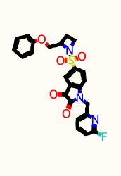 O=C1C(=O)N(Cc2cccc(F)n2)c2ccc(S(=O)(=O)N3CCC3COc3ccccc3)cc21